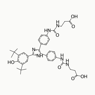 CC(C)(C)c1cc(-c2nc(-c3ccc(NC(=O)NCCC(=O)O)cc3)c(-c3ccc(NC(=O)NCCC(=O)O)cc3)[nH]2)cc(C(C)(C)C)c1O